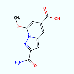 COc1cc(C(=O)O)cc2cc(C(N)=O)nn12